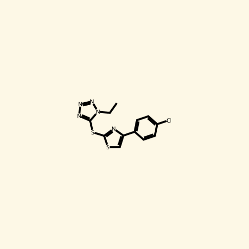 CCn1nnnc1Sc1nc(-c2ccc(Cl)cc2)cs1